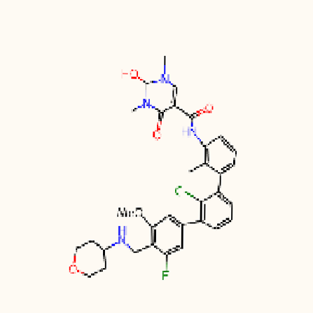 COc1cc(-c2cccc(-c3cccc(NC(=O)C4=CN(C)C(O)N(C)C4=O)c3C)c2Cl)cc(F)c1CNC1CCOCC1